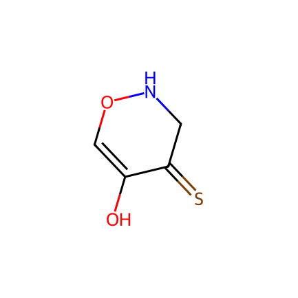 OC1=CONCC1=S